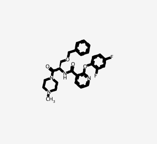 CN1CCN(C(=O)[C@@H](COCc2ccccc2)NC(=O)c2cccnc2Oc2ccc(F)cc2F)CC1